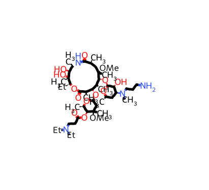 CC[C@H]1OC(=O)[C@H](C)[C@@H](O[C@H]2C[C@@](C)(OC)[C@@H](OC(=O)CCN(CC)CC)[C@H](C)O2)[C@H](C)[C@@H](O[C@@H]2O[C@H](C)C[C@H](N(C)CCCN)[C@H]2O)[C@](C)(OC)C[C@@H](C)C(=O)N[C@H](C)[C@H](O)[C@]1(C)O